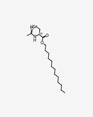 CCCCCCCCCCCCCOC(=O)[C@H](C[SeH])NC(C)=O